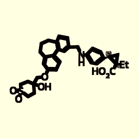 CC[C@]1(C(=O)O)C[C@H]1c1ccc(NCc2ccc3c(c2)-c2ccc(OCC4(O)CCS(=O)(=O)CC4)cc2CCC3)cc1